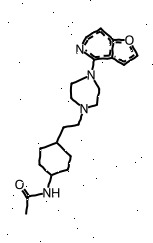 CC(=O)NC1CCC(CCN2CCN(c3nccc4occc34)CC2)CC1